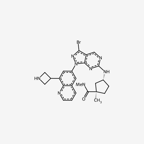 CNC(=O)[C@]1(C)CC[C@@H](Nc2ncc3c(Br)nn(-c4cc(C5CNC5)c5ncccc5c4)c3n2)C1